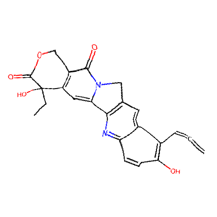 C=C=Cc1c(O)ccc2nc3c(cc12)Cn1c-3cc2c(c1=O)COC(=O)C2(O)CC